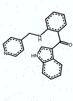 O=C(c1ccccc1NCc1ccncc1)c1c[nH]c2ccccc12